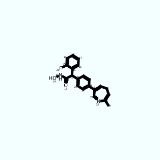 CC1=CCC=C(c2ccc(C(C(=O)NO)c3ccccc3F)cc2)C=N1